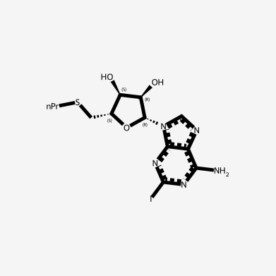 CCCSC[C@H]1O[C@@H](n2cnc3c(N)nc(I)nc32)[C@H](O)[C@@H]1O